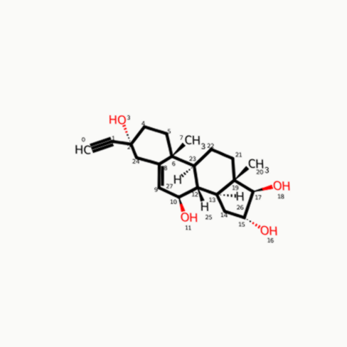 C#C[C@@]1(O)CC[C@@]2(C)C(=C[C@H](O)[C@H]3[C@@H]4C[C@@H](O)[C@H](O)[C@@]4(C)CC[C@@H]32)C1